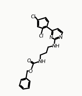 O=C(NCCCNc1nccc(-c2ccc(Cl)cc2Cl)n1)OCc1ccccc1